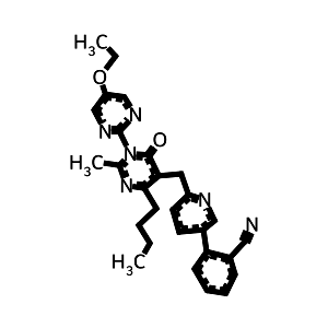 CCCCc1nc(C)n(-c2ncc(OCC)cn2)c(=O)c1Cc1ccc(-c2ccccc2C#N)cn1